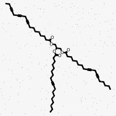 CCC#CCC#CCC#CCCCCCCCC(=O)OCC(COC(=O)CCCCCCCC#CCC#CCCCCC)OC(=O)CCCCCCCC#CCCCCCCCC